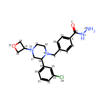 NNC(=O)c1ccc(CN2CCN(C3COC3)CC2c2cccc(Cl)c2)cc1